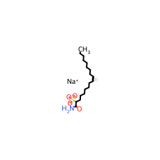 CCCCCCCC/C=C\CCCCCCC(C(N)=O)S(=O)(=O)[O-].[Na+]